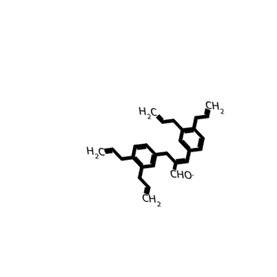 C=CCc1ccc(C=C([C]=O)Cc2ccc(CC=C)c(CC=C)c2)cc1CC=C